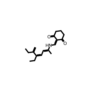 C=C(CC)/C(=C\C=C(/C)NC=C1C(=O)CCCC1=O)CC